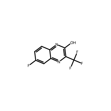 Oc1nc2ccc(F)cc2nc1C(F)(F)F